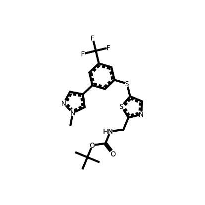 Cn1cc(-c2cc(Sc3cnc(CNC(=O)OC(C)(C)C)s3)cc(C(F)(F)F)c2)cn1